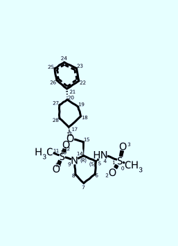 CS(=O)(=O)N[C@H]1CCCN(S(C)(=O)=O)[C@H]1CO[C@H]1CC[C@@H](c2ccccc2)CC1